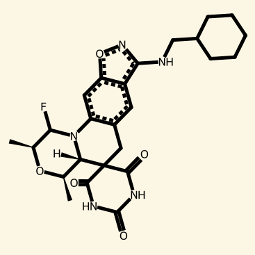 C[C@@H]1O[C@H](C)[C@@H]2N(c3cc4onc(NCC5CCCCC5)c4cc3CC23C(=O)NC(=O)NC3=O)C1F